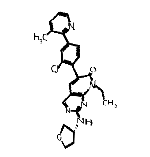 CCn1c(=O)c(-c2ccc(-c3ncccc3C)cc2Cl)cc2cnc(N[C@@H]3CCOC3)nc21